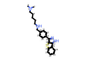 CN(C)CCCCCNCc1ccc(-c2n[nH]c3c2sc2ccccc23)cc1